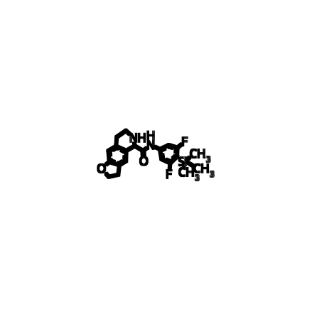 C[Si](C)(C)c1c(F)cc(NC(=O)C2NCCc3cc4c(cc32)CCO4)cc1F